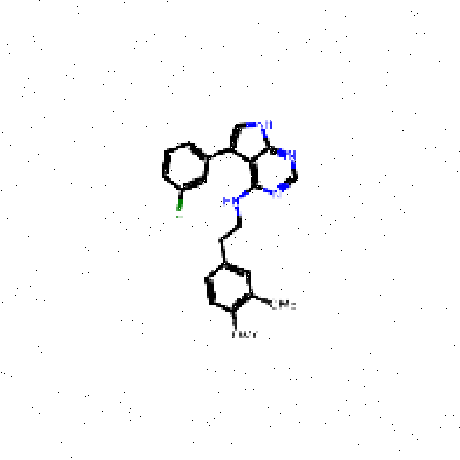 COc1ccc(CCNc2ncnc3[nH]cc(-c4cccc(Cl)c4)c23)cc1OC